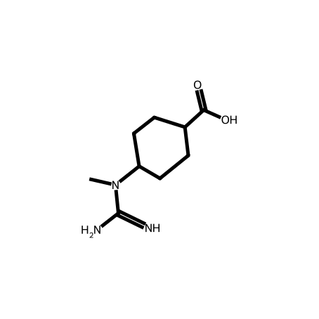 CN(C(=N)N)C1CCC(C(=O)O)CC1